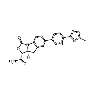 Cn1nnc(-c2ccc(-c3ccc4c(c3)C[C@H]3[C@H](C(N)=O)OC(=O)N43)cn2)n1